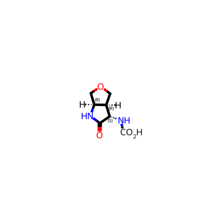 O=C(O)N[C@@H]1C(=O)N[C@H]2COC[C@H]21